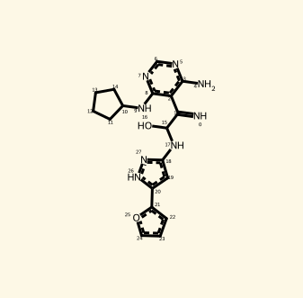 N=C(c1c(N)ncnc1NC1CCCC1)C(O)Nc1cc(-c2ccco2)[nH]n1